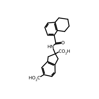 O=C(O)c1ccc2c(c1)CC(NC(=O)c1cccc3c1CCCC3)(C(=O)O)C2